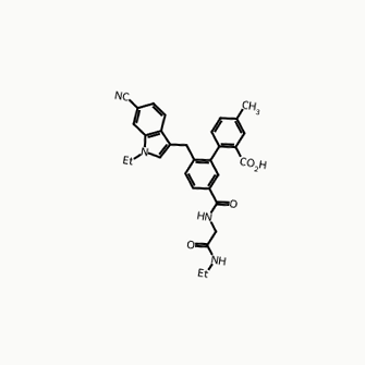 CCNC(=O)CNC(=O)c1ccc(Cc2cn(CC)c3cc(C#N)ccc23)c(-c2ccc(C)cc2C(=O)O)c1